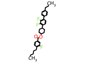 CCCCCc1ccc(C(=O)OC2CCC(c3ccc(-c4ccc(CCC)cc4)c(F)c3F)CC2)cc1F